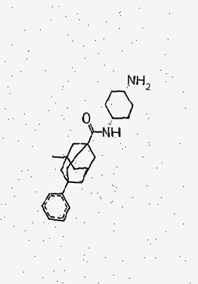 CC12CC3CC(C(=O)N[C@H]4CC[C@@H](N)CC4)(C1)CC(c1ccccc1)(C3)C2